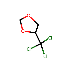 ClC(Cl)(Cl)C1COCO1